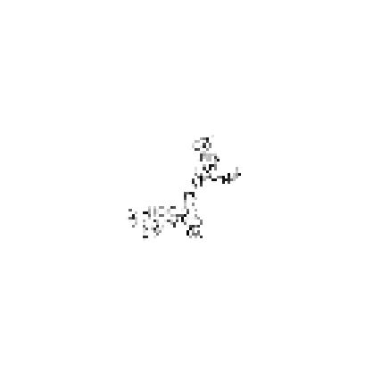 CC(C)(C)OC(=O)NC[C@@H](Cn1cc(-c2ccc3c(c2)CC[C@H]([C@](C)(O/N=C(\C(=O)O)c2csc(NC(=O)OC(C)(C)C)n2)C(=O)OC(C)(C)C)O3)c[n+]1CCCN=[N+]=[N-])O[Si](C)(C)C(C)(C)C